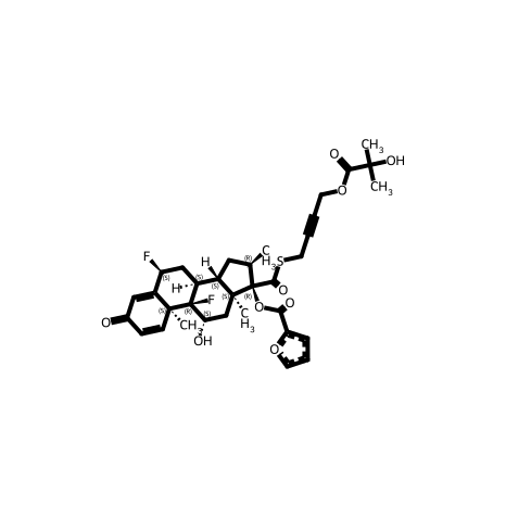 C[C@@H]1C[C@H]2[C@@H]3C[C@H](F)C4=CC(=O)C=C[C@]4(C)[C@@]3(F)[C@@H](O)C[C@]2(C)[C@@]1(OC(=O)c1ccco1)C(=O)SCC#CCOC(=O)C(C)(C)O